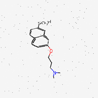 CN(C)CCCOc1ccc2ccc(S(=O)(=O)O)cc2c1